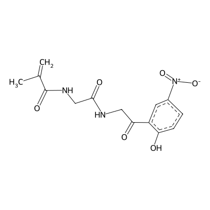 C=C(C)C(=O)NCC(=O)NCC(=O)c1cc([N+](=O)[O-])ccc1O